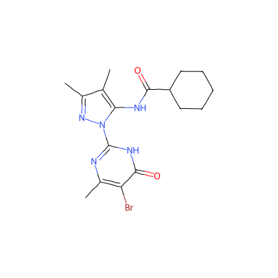 Cc1nn(-c2nc(C)c(Br)c(=O)[nH]2)c(NC(=O)C2CCCCC2)c1C